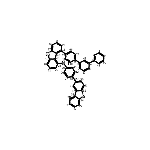 c1ccc(-c2cccc(-c3ccc(-c4cccc5oc6cccc(Nc7ccc(-c8ccc9sc%10ccccc%10c9c8)cc7)c6c45)cc3)c2)cc1